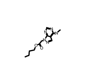 CCCCOC(=O)Cn1ncc2c(NC)ncnc21